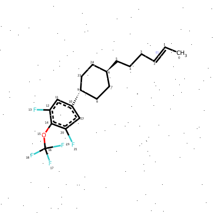 C/C=C/CCC[C@H]1CC[C@H](c2cc(F)c(OC(F)(F)F)c(F)c2)CC1